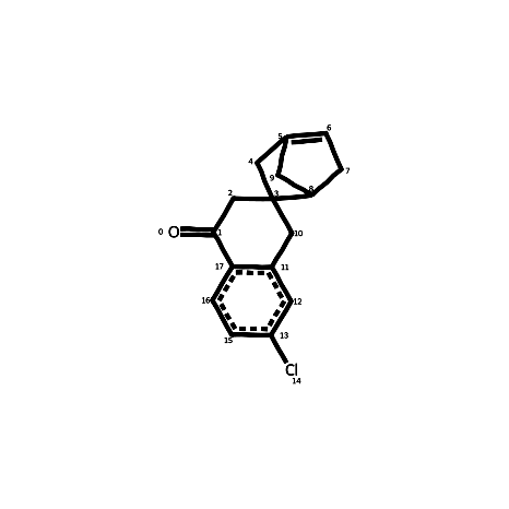 O=C1CC2(CC3=CCC2C3)Cc2cc(Cl)ccc21